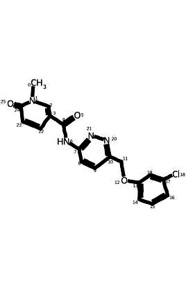 Cn1cc(C(=O)Nc2ccc(COc3cccc(Cl)c3)nn2)ccc1=O